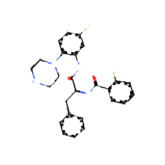 O=C(NC(Cc1ccccc1)C(=O)Nc1cc(F)ccc1N1CCNCC1)c1ccccc1F